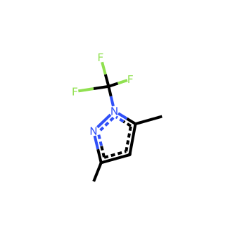 Cc1cc(C)n(C(F)(F)F)n1